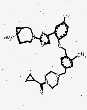 Cc1ccc(OCc2ccc(CN3CCN(C(=O)C4CC4)CC3)cc2C)c(-c2csc(N3CC[C@@]4(C(=O)O)CC4C3)n2)c1